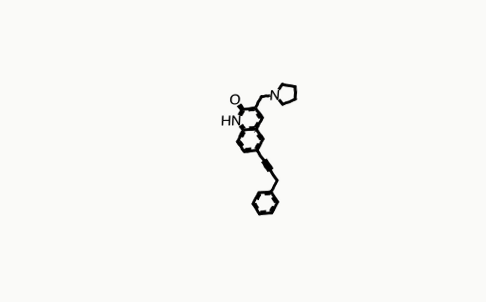 O=c1[nH]c2ccc(C#CCc3ccccc3)cc2cc1CN1CCCC1